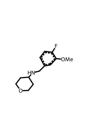 COc1cc(CNC2CCOCC2)ccc1F